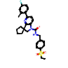 CCS(=O)(=O)c1ccc(CNC(=O)N2CC3(CCCC3)c3nc(-c4ccc(F)cc4C)ccc32)cc1